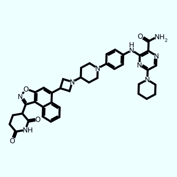 NC(=O)c1ncc(N2CCCCC2)nc1Nc1ccc(N2CCC(N3CC(c4cc5onc(C6CCC(=O)NC6=O)c5c5ccccc45)C3)CC2)cc1